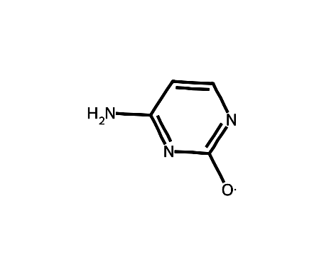 Nc1ccnc([O])n1